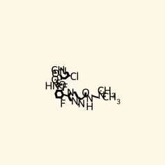 COc1ncc(Cl)cc1S(=O)(=O)Nc1ccc(F)c(-c2cn3cnc(C(=O)NCCN(C)C)c3cn2)c1F